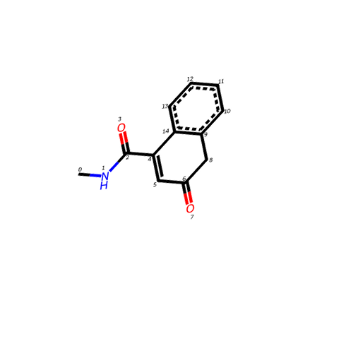 CNC(=O)C1=CC(=O)Cc2ccccc21